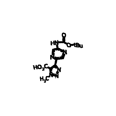 Cn1nnc(-c2cnc(NC(=O)OC(C)(C)C)cn2)c1C(=O)O